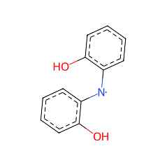 Oc1ccccc1[N]c1ccccc1O